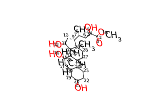 COC(=O)[C@H](O)C[C@@H](C)[C@H]1C[C@H](O)[C@H]2[C@@H]3[C@H](O)C[C@@H]4C[C@H](O)CC[C@]4(C)[C@H]3CC[C@@]21C